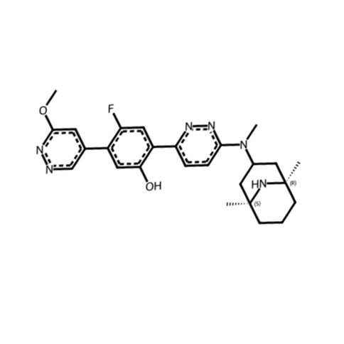 COc1cc(-c2cc(O)c(-c3ccc(N(C)C4C[C@]5(C)CCC[C@](C)(C4)N5)nn3)cc2F)cnn1